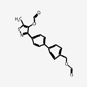 Cc1snc(-c2ccc(-c3ccc(COC=O)cc3)cc2)c1OC=O